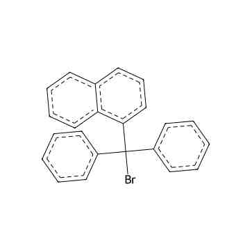 BrC(c1ccccc1)(c1ccccc1)c1cccc2ccccc12